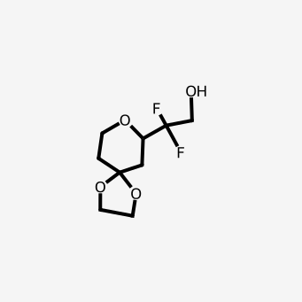 OCC(F)(F)C1CC2(CCO1)OCCO2